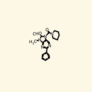 CN1c2nc(-c3ccccc3)ncc2N(C(=O)N2CCCCC2)C1C=O